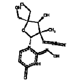 C[C@@]1(N=[N+]=[N-])[C@H](O)[C@](CO)(CCl)O[C@H]1n1ccc(=O)[nH]/c1=N\O